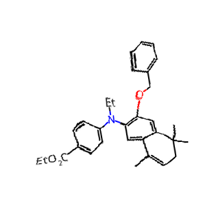 CCOC(=O)c1ccc(N(CC)c2cc3c(cc2OCc2ccccc2)C(C)(C)CC=C3C)cc1